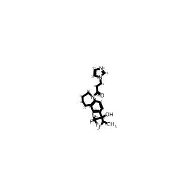 CC(F)C(O)(c1ccc2c(c1)CCCCN2C(=O)CCn1ccnc1)C(F)(F)F